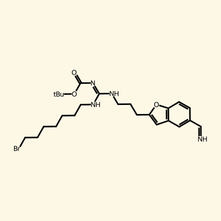 CC(C)(C)OC(=O)N=C(NCCCCCCCBr)NCCCc1cc2cc(C=N)ccc2o1